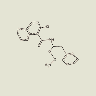 NOOC(Cc1ccccc1)NC(=O)c1c(Cl)ccc2ccccc12